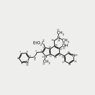 CCOC(=O)c1c(CSc2ccccn2)n(C)c2cc(-c3cccnc3)c(O)c(CN(C)C)c12